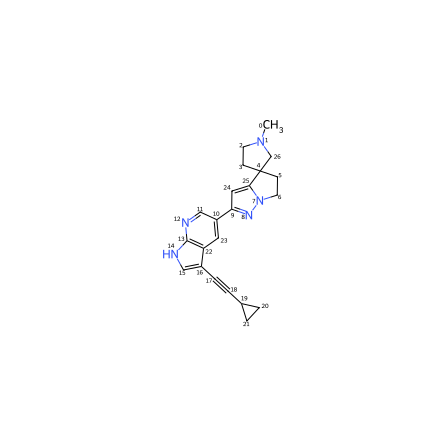 CN1CCC2(CCn3nc(-c4cnc5[nH]cc(C#CC6CC6)c5c4)cc32)C1